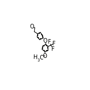 COc1ccc(Oc2ccc(CC=O)cc2)c(C(F)(F)F)c1